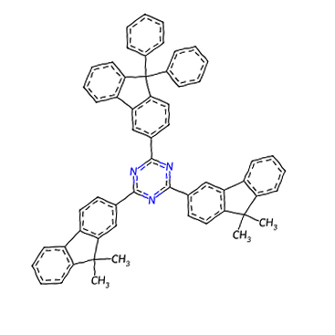 CC1(C)c2ccccc2-c2cc(-c3nc(-c4ccc5c(c4)-c4ccccc4C5(c4ccccc4)c4ccccc4)nc(-c4ccc5c(c4)C(C)(C)c4ccccc4-5)n3)ccc21